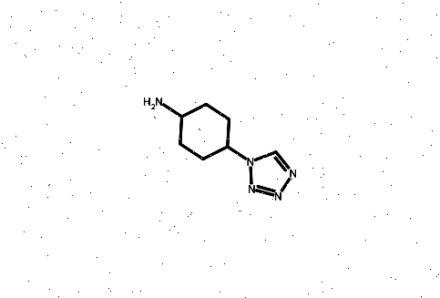 NC1CCC(n2cnnn2)CC1